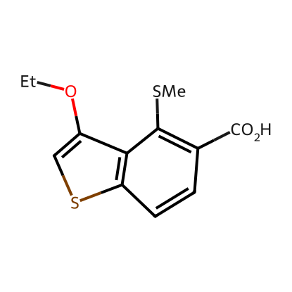 CCOc1csc2ccc(C(=O)O)c(SC)c12